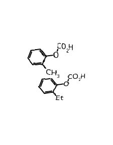 CCc1ccccc1OC(=O)O.Cc1ccccc1OC(=O)O